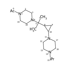 CC(=O)N1CCN(C(C)(C)C2CC2N2CCN(C(C)C)CC2)CC1